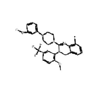 COc1ccc(C(F)(F)F)cc1N1Cc2cccc(F)c2N=C1N1CCN(c2cccc(OF)c2)CC1